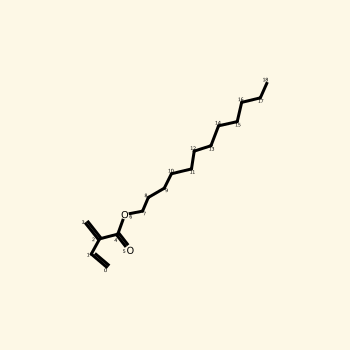 C=CC(=C)C(=O)OCCCCCCCCCCCC